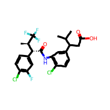 CC(C)C(CC(=O)O)c1ccc(Cl)c(NC(=O)[C@H](c2ccc(Cl)c(F)c2)[C@@H](C)C(F)(F)F)c1